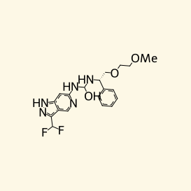 COCCOC[C@@H](NC(O)Nc1cc2[nH]nc(C(F)F)c2cn1)c1ccccc1